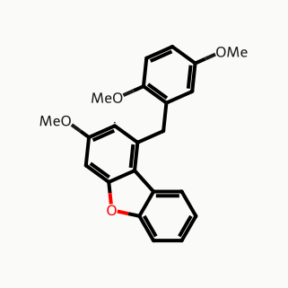 COc1[c]c(Cc2cc(OC)ccc2OC)c2c(c1)oc1ccccc12